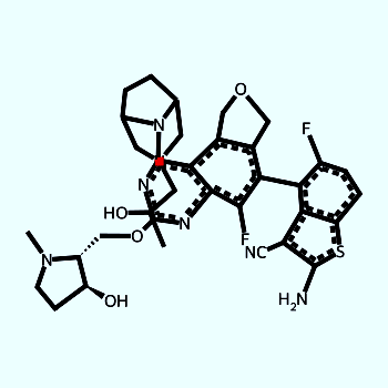 CC(O)CN1CC2CCC(C1)N2c1nc(OC[C@@H]2[C@@H](O)CCN2C)nc2c(F)c(-c3c(F)ccc4sc(N)c(C#N)c34)c3c(c12)COC3